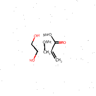 C=CC(=O)OC.COC.OCCO